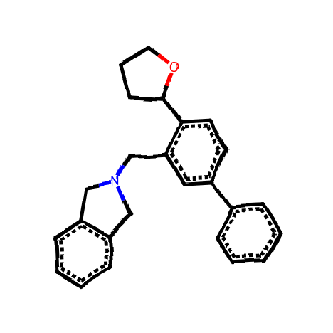 c1ccc(-c2ccc(C3CCCO3)c(CN3Cc4ccccc4C3)c2)cc1